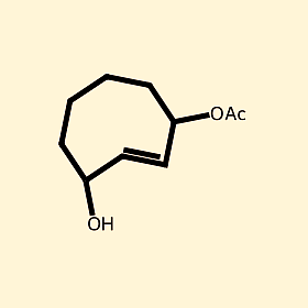 CC(=O)OC1/C=C/C(O)CCCC1